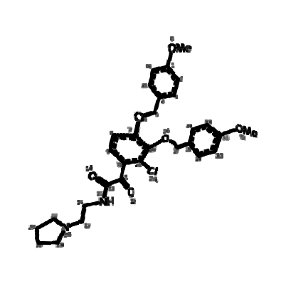 COc1ccc(COc2ccc(C(=O)C(=O)NCCN3CCCC3)c(Cl)c2OCc2ccc(OC)cc2)cc1